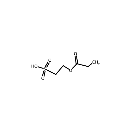 [CH2]CC(=O)OCCS(=O)(=O)O